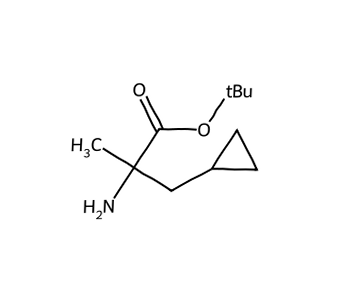 CC(C)(C)OC(=O)C(C)(N)CC1CC1